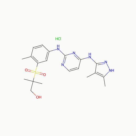 Cc1ccc(Nc2nccc(Nc3n[nH]c(C)c3C)n2)cc1S(=O)(=O)C(C)(C)CO.Cl